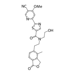 COc1cc(-c2ncc(C(=O)N(CCO)CCc3ccc4c(c3C)COC4=O)s2)ncc1C#N